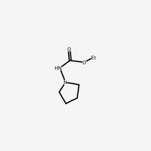 [CH2]COC(=O)NN1CCCC1